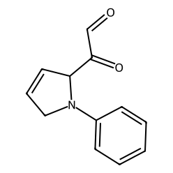 O=CC(=O)C1C=CCN1c1ccccc1